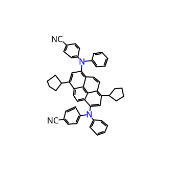 N#Cc1ccc(N(c2ccccc2)c2cc(C3CCCC3)c3ccc4c(N(c5ccccc5)c5ccc(C#N)cc5)cc(C5CCCC5)c5ccc2c3c54)cc1